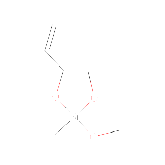 [CH2][Si](OC)(OC)OCC=C